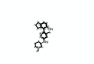 Cc1cc(N[C@@H]2CCCN(C)C2)nnc1-c1c(O)ccc2c1CCC2